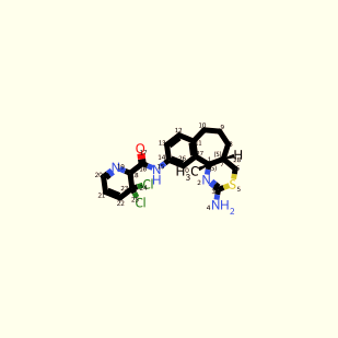 C[C@]12N=C(N)SC[C@H]1CCCc1ccc(NC(=O)C3N=CC=CC3(Cl)Cl)cc12